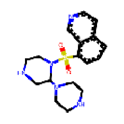 O=S(=O)(c1cccc2ccncc12)N1CCNCC1N1CCNCC1